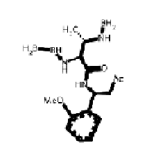 BBN[C@H](C(=O)N[C@@H](CC(C)=O)c1ccccc1OC)[C@H](C)NB